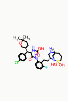 CC1(C)CCC([C@H](c2ccc(Cl)cc2)[C@H](NC(=O)O)C(=O)Nc2cccc(F)c2CC[C@H]2CN[C@@H]3CCCS(O)(O)N2C3)CO1